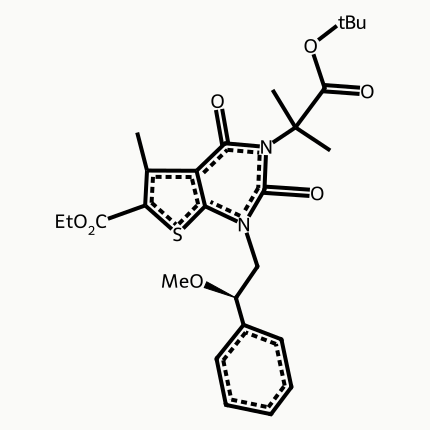 CCOC(=O)c1sc2c(c1C)c(=O)n(C(C)(C)C(=O)OC(C)(C)C)c(=O)n2C[C@H](OC)c1ccccc1